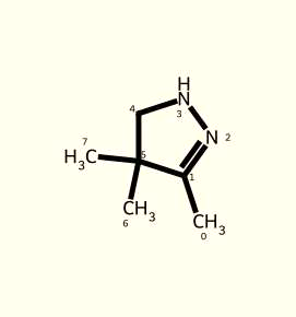 CC1=NNCC1(C)C